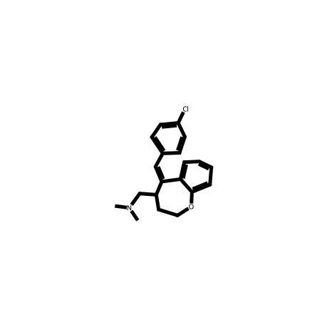 CN(C)CC1CCOc2ccccc2/C1=C\c1ccc(Cl)cc1